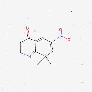 CC1(C)C=C([N+](=O)[O-])C=C2C(=O)C=CN=C21